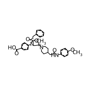 COc1ccc(NC(=O)CC2CCN([C@H](C)CN(c3ccc(C(=O)O)cc3)S(=O)(=O)Cc3ccccc3)CC2)cc1